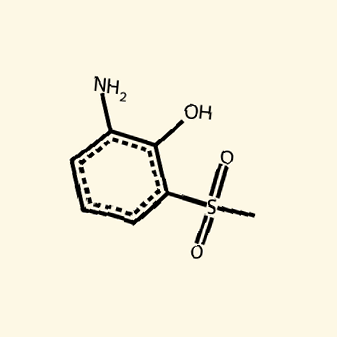 CS(=O)(=O)c1cccc(N)c1O